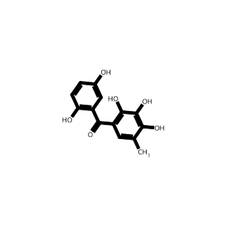 Cc1cc(C(=O)c2cc(O)ccc2O)c(O)c(O)c1O